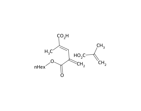 C=C(C)C(=O)O.C=C(C=C(C)C(=O)O)C(=O)OCCCCCC